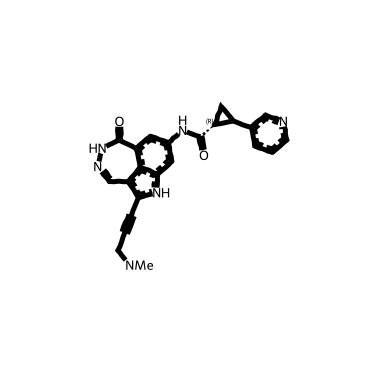 CNCC#Cc1[nH]c2cc(NC(=O)[C@@H]3CC3c3cccnc3)cc3c2c1C=NNC3=O